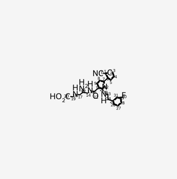 N#Cc1ccccc1-c1ccc(C(=O)NC[C@@H](N)CNCC(=O)O)c(NCCc2cccc(F)c2)n1